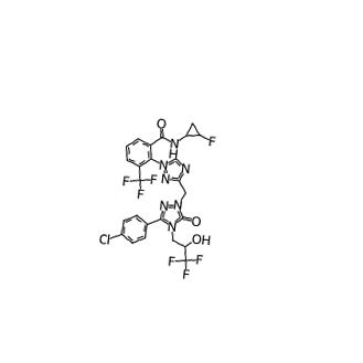 O=C(NC1CC1F)c1cccc(C(F)(F)F)c1-n1cnc(Cn2nc(-c3ccc(Cl)cc3)n(CC(O)C(F)(F)F)c2=O)n1